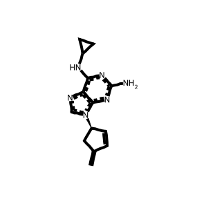 C=C1C=C[C@H](n2cnc3c(NC4CC4)nc(N)nc32)C1